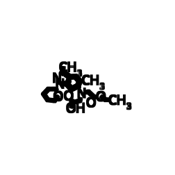 CCOC(=O)CN(CC(=O)O)c1cc2c(cc1C)c(C)nn2C1CCCCO1